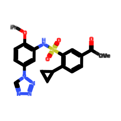 COC(=O)c1ccc(C2CC2)c(S(=O)(=O)Nc2cc(-n3cnnn3)ccc2OC(C)C)c1